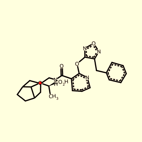 C[C@@H](OC1C2CCC1CC(CNC(=O)c1cccnc1Oc1nonc1Cc1ccccc1)C2)C(=O)O